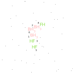 B.B.B.F.F.F